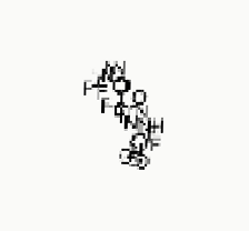 COc1nc(N[C@@H]2CCN(S(C)(=O)=O)CC2(F)F)nn2cc(F)c(-c3ccc4nnn([C@@H](C)C(F)F)c4c3)c12